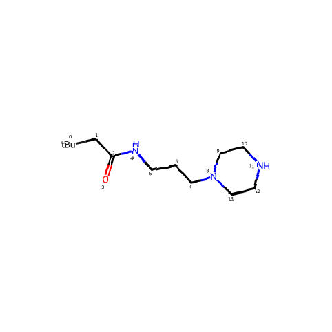 CC(C)(C)CC(=O)NCCCN1CCNCC1